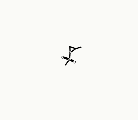 CC1CN1S(C)(=O)=O